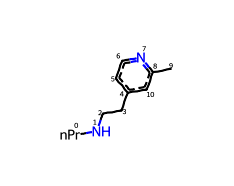 CCCNCCc1ccnc(C)c1